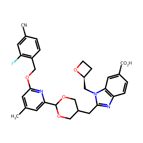 Cc1cc(OCc2ccc(C#N)cc2F)nc(C2OCC(Cc3nc4ccc(C(=O)O)cc4n3C[C@@H]3CCO3)CO2)c1